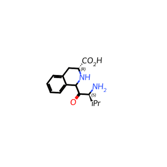 CC(C)[C@H](N)C(=O)C1N[C@@H](C(=O)O)Cc2ccccc21